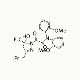 COc1ccccc1N(C(=O)C(=O)N1N=C(CC(C)C)CC1(O)C(F)(F)F)c1ccccc1OC